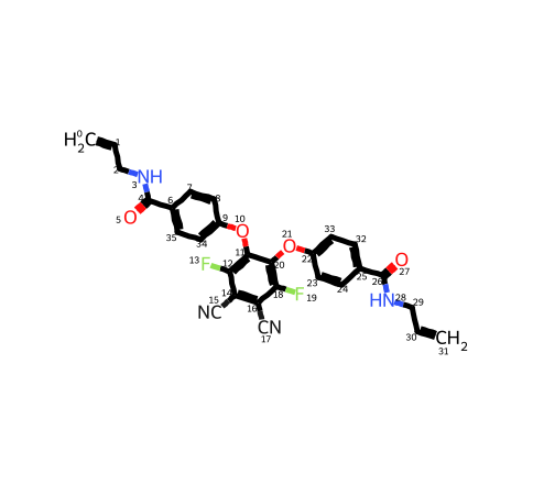 C=CCNC(=O)c1ccc(Oc2c(F)c(C#N)c(C#N)c(F)c2Oc2ccc(C(=O)NCC=C)cc2)cc1